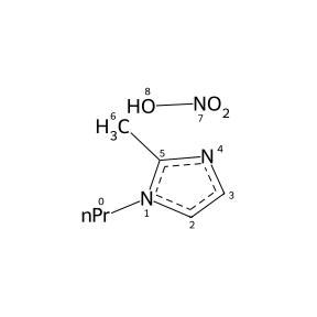 CCCn1ccnc1C.O=[N+]([O-])O